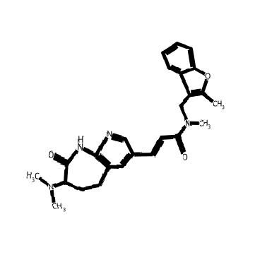 Cc1oc2ccccc2c1CN(C)C(=O)/C=C/c1cnc2c(c1)CCC(N(C)C)C(=O)N2